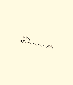 C=CCCCCCCC(CC)CN